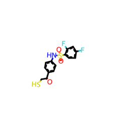 O=C(CS)c1ccc(NS(=O)(=O)c2ccc(F)cc2F)cc1